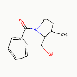 CC1CCN(C(=O)c2ccccc2)C1CO